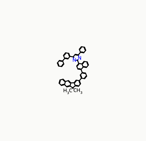 CC1(C)c2ccc(-c3cccc(-c4ccc(-c5nc(-c6ccccc6)cc(-c6cccc(-c7ccccc7)c6)n5)c5ccccc45)c3)cc2-c2cc3ccccc3cc21